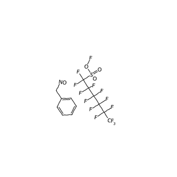 O=NCc1ccccc1.O=S(=O)(OF)C(F)(F)C(F)(F)C(F)(F)C(F)(F)C(F)(F)C(F)(F)F